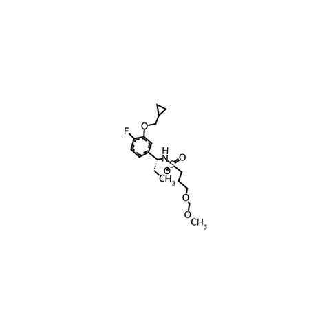 CC[C@@H](NS(=O)(=O)CCCOCOC)c1ccc(F)c(OCC2CC2)c1